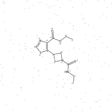 CCNC(=O)N1CC(c2scnc2C(=O)OCC)C1